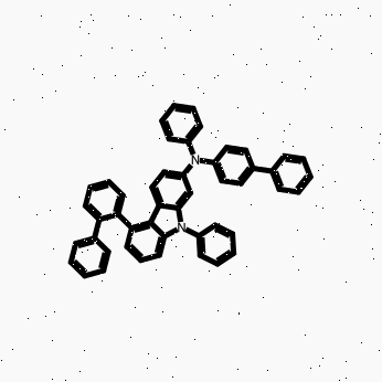 c1ccc(-c2ccc(N(c3ccccc3)c3ccc4c5c(-c6ccccc6-c6ccccc6)cccc5n(-c5ccccc5)c4c3)cc2)cc1